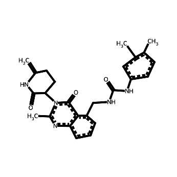 C=C1CCC(n2c(C)nc3cccc(CNC(=O)Nc4ccc(C)c(C)c4)c3c2=O)C(=O)N1